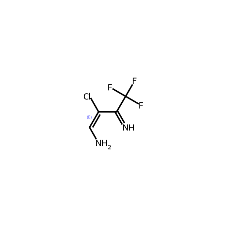 N=C(/C(Cl)=C\N)C(F)(F)F